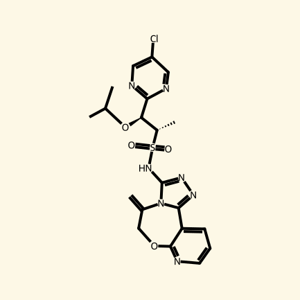 C=C1COc2ncccc2-c2nnc(NS(=O)(=O)[C@@H](C)[C@@H](OC(C)C)c3ncc(Cl)cn3)n21